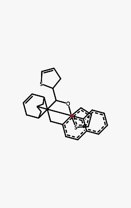 C1=CSC(C2Oc3c(ccc4ccccc34)CC23C2C=CCC3CC(c3cccs3)C2)C1